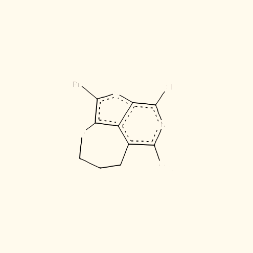 O=C(O)c1nc(Cl)c2sc(Br)c3c2c1CCCO3